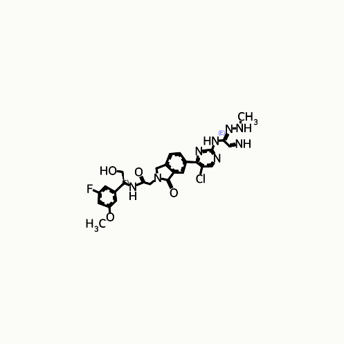 CN/N=C(\C=N)Nc1ncc(Cl)c(-c2ccc3c(c2)C(=O)N(CC(=O)N[C@H](CO)c2cc(F)cc(OC)c2)C3)n1